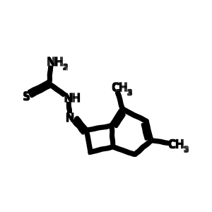 CC1=CC(C)=C2C(=NNC(N)=S)CC2C1